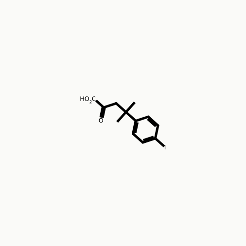 CC(C)(CC(=O)C(=O)O)c1ccc(I)cc1